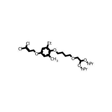 CCCOC(COCCCCOc1c(C)cc(OCC=C(Cl)Cl)cc1CC)OCCC